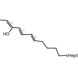 C/C=C(O)/C=C/C=C/CCCCCCCCCCC